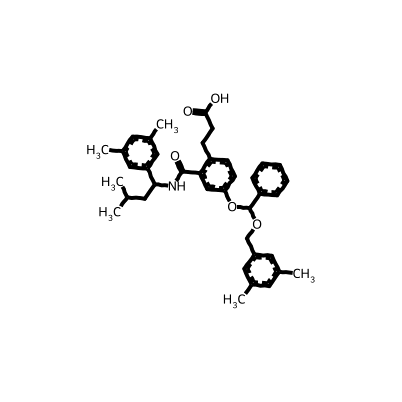 Cc1cc(C)cc(COC(Oc2ccc(CCC(=O)O)c(C(=O)NC(CC(C)C)c3cc(C)cc(C)c3)c2)c2ccccc2)c1